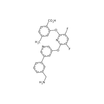 Cc1ccc(C(=O)O)c(Oc2nc(Oc3cncc(-c4cccc(CN)c4)c3)c(F)cc2F)c1